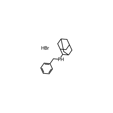 Br.c1ccc(CPC2C3CC4CC(C3)CC2C4)cc1